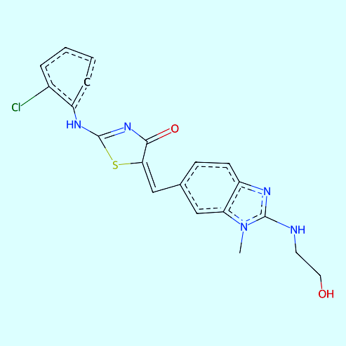 Cn1c(NCCO)nc2ccc(C=C3SC(Nc4ccccc4Cl)=NC3=O)cc21